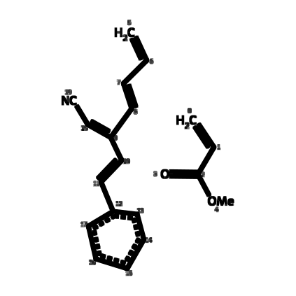 C=CC(=O)OC.C=CC=CC(C=Cc1ccccc1)=CC#N